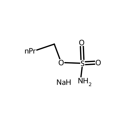 CCCCOS(N)(=O)=O.[NaH]